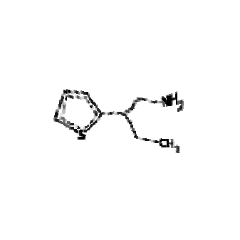 CCC(CN)c1cccs1